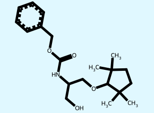 CC1(C)CCC(C)(C)C1OCC(CO)NC(=O)OCc1ccccc1